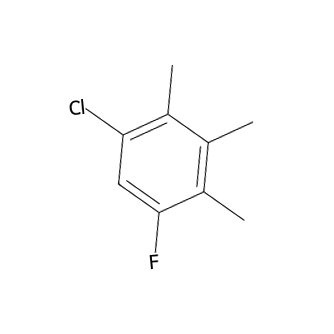 Cc1c(F)cc(Cl)c(C)c1C